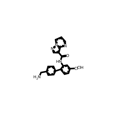 Cl.NCc1ccc(-c2ccc(Cl)cc2NC(=O)c2cnn3cccnc23)cc1